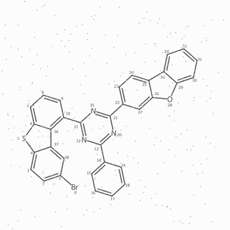 Brc1ccc2sc3cccc(-c4nc(-c5ccccc5)nc(-c5ccc6c(c5)oc5ccccc56)n4)c3c2c1